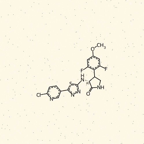 COc1cc(F)c(C2CNC(=O)[C@@H]2Nc2nnc(-c3ccc(Cl)nc3)s2)c(F)c1